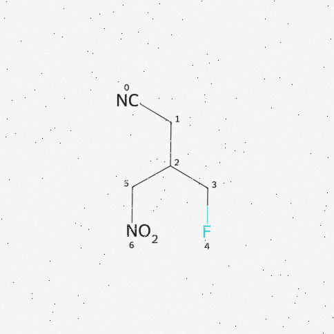 N#CCC(CF)C[N+](=O)[O-]